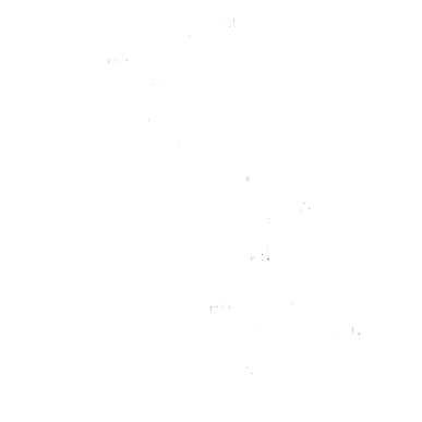 COc1cc(/C=C/C(=O)Nc2ccncc2C(=O)O)ccc1O